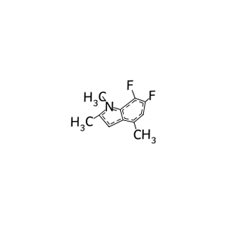 Cc1cc(F)c(F)c2c1cc(C)n2C